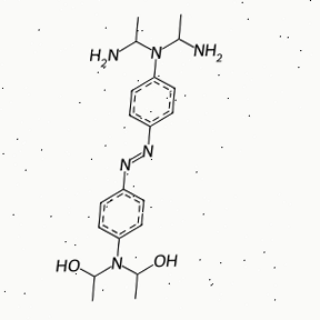 CC(N)N(c1ccc(N=Nc2ccc(N(C(C)O)C(C)O)cc2)cc1)C(C)N